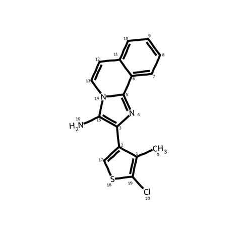 Cc1c(-c2nc3c4ccccc4ccn3c2N)csc1Cl